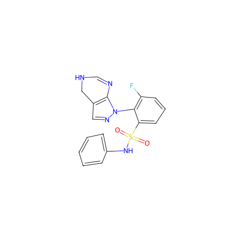 O=S(=O)(Nc1ccccc1)c1cccc(F)c1-n1ncc2c1N=CNC2